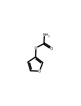 NC(=O)Oc1ccoc1